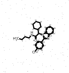 CCCCNC(=O)C(C1CCCCC1)n1c(-c2ccc(Cl)cc2)nc2ccccc21